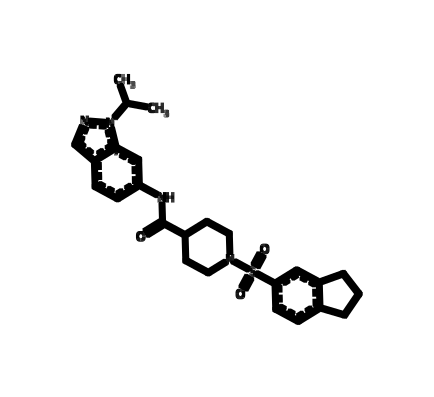 CC(C)n1ncc2ccc(NC(=O)C3CCN(S(=O)(=O)c4ccc5c(c4)CCC5)CC3)cc21